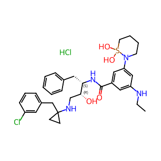 CCNc1cc(C(=O)N[C@@H](Cc2ccccc2)[C@H](O)CNC2(Cc3cccc(Cl)c3)CC2)cc(N2CCCCS2(O)O)c1.Cl